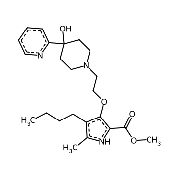 CCCCc1c(C)[nH]c(C(=O)OC)c1OCCN1CCC(O)(c2ccccn2)CC1